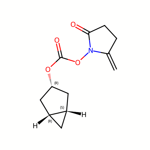 C=C1CCC(=O)N1OC(=O)O[C@@H]1C[C@@H]2C[C@@H]2C1